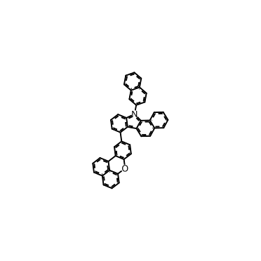 c1ccc2cc(-n3c4cccc(-c5ccc6c(c5)-c5cccc7cccc(c57)O6)c4c4ccc5ccccc5c43)ccc2c1